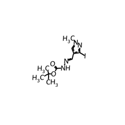 Cn1cc(/C=N/NC(=O)OC(C)(C)C)c(I)n1